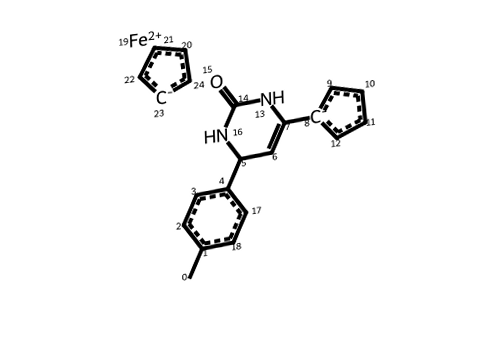 Cc1ccc(C2C=C([c-]3cccc3)NC(=O)N2)cc1.[Fe+2].c1cc[cH-]c1